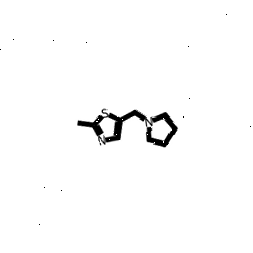 Cc1ncc(CN2CCCC2)s1